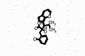 CC(C)C(c1ccc2cccoc1-2)C(O)(Cc1ccccc1Cl)C(=O)O